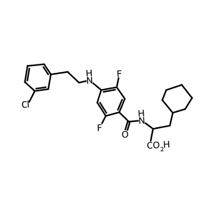 O=C(NC(CC1CCCCC1)C(=O)O)c1cc(F)c(NCCc2cccc(Cl)c2)cc1F